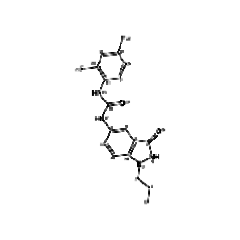 CCCn1[nH]c(=O)c2cc(NC(=O)Nc3ccc(F)cc3F)ccc21